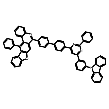 c1ccc(-c2nc(-c3ccc(-c4ccc(-c5nc6ccccc6c6c(-c7ccccc7)c7c(cc56)oc5ccccc57)cc4)cc3)cc(-c3cccc(-n4c5ccccc5c5ccccc54)c3)n2)cc1